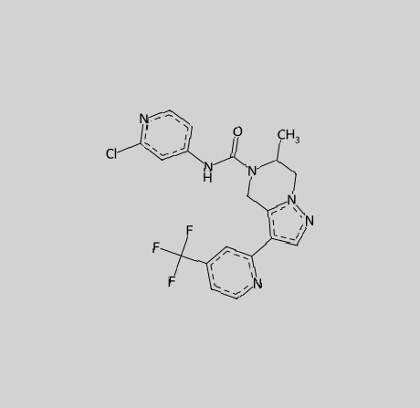 CC1Cn2ncc(-c3cc(C(F)(F)F)ccn3)c2CN1C(=O)Nc1ccnc(Cl)c1